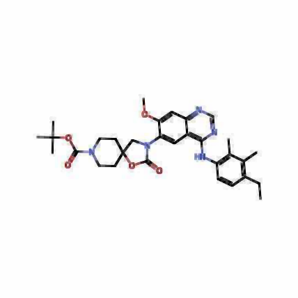 CCc1ccc(Nc2ncnc3cc(OC)c(N4CC5(CCN(C(=O)OC(C)(C)C)CC5)OC4=O)cc23)c(C)c1C